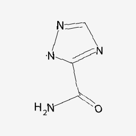 NC(=O)C1=NC=N[N]1